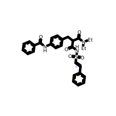 CCN(CC)C(=O)C(Cc1ccc(NC(=O)c2ccccc2)cc1)C(=O)NS(=O)(=O)/C=C/c1ccccc1